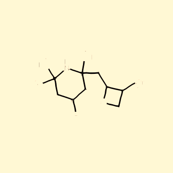 CCC1CC(C)(C)NC(C)(CC2OCC2C(C)C)C1